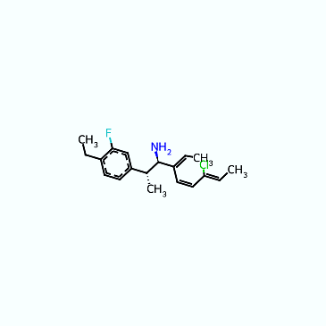 C/C=C(Cl)/C=C\C(=C/C)[C@H](N)[C@H](C)c1ccc(CC)c(F)c1